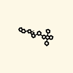 c1ccc(-c2c3ccccc3c(-c3ccccc3)c3cc(-c4cccc(-c5cccc6c5sc5ccc(-c7ccc8ccccc8c7)cc56)c4)ccc23)cc1